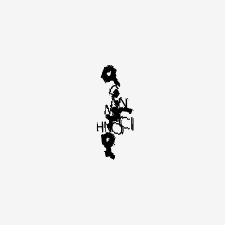 Cc1nn(CCOCc2ccccc2)c2ncc(C(=O)Nc3ccc(C(C)C)cc3)c(Cl)c12